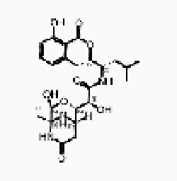 CC(C)C[C@H](NC(=O)[C@@H](O)[C@H]1O[C@](C)(O)[C@@]2(C)NC(=O)C[C@@H]1N2)[C@@H]1Cc2cccc(O)c2C(=O)O1